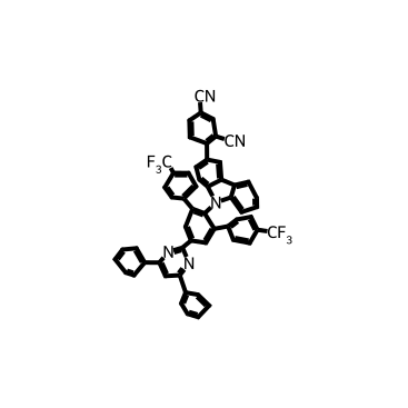 N#Cc1ccc(-c2ccc3c(c2)c2ccccc2n3-c2c(-c3ccc(C(F)(F)F)cc3)cc(-c3nc(-c4ccccc4)cc(-c4ccccc4)n3)cc2-c2ccc(C(F)(F)F)cc2)c(C#N)c1